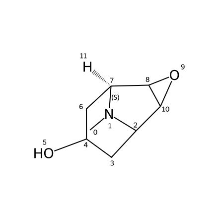 CN1C2CC(O)C[C@H]1C1OC12